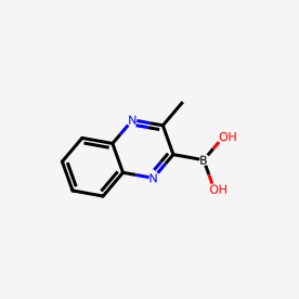 Cc1nc2ccccc2nc1B(O)O